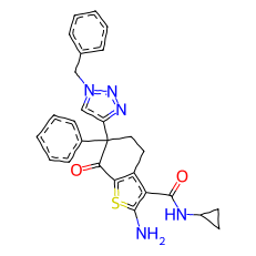 Nc1sc2c(c1C(=O)NC1CC1)CCC(c1ccccc1)(c1cn(Cc3ccccc3)nn1)C2=O